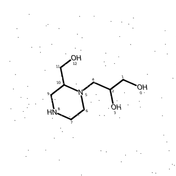 OCC(O)CN1CCNCC1CO